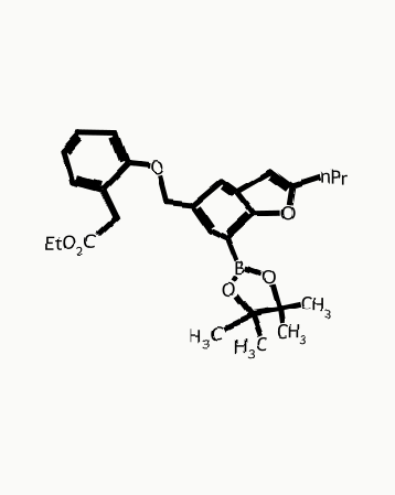 CCCc1cc2cc(COc3ccccc3CC(=O)OCC)cc(B3OC(C)(C)C(C)(C)O3)c2o1